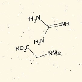 CNCC(=O)O.N=C(N)N